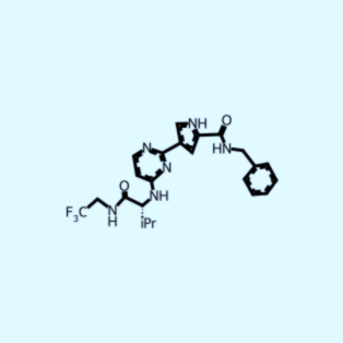 CC(C)[C@@H](Nc1ccnc(-c2c[nH]c(C(=O)NCc3ccccc3)c2)n1)C(=O)NCC(F)(F)F